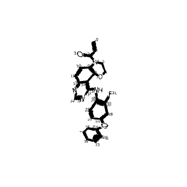 C=CC(=O)N1CCOc2c1ccc1ncnc(Nc3ccc(Oc4ccccc4)cc3F)c21